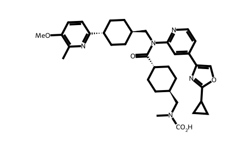 COc1ccc([C@H]2CC[C@H](CN(c3cc(-c4coc(C5CC5)n4)ccn3)C(=O)[C@H]3CC[C@H](CN(C)C(=O)O)CC3)CC2)nc1C